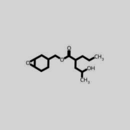 CCCC(CC(C)O)C(=O)OCC1CCC2OC2C1